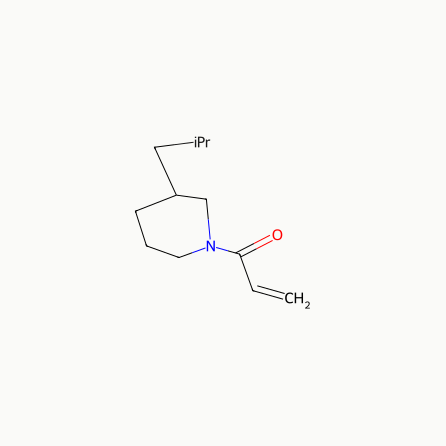 C=CC(=O)N1CCCC(CC(C)C)C1